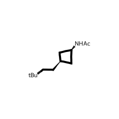 CC(=O)N[C@H]1C[C@@H](CCC(C)(C)C)C1